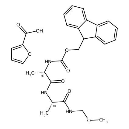 COCNC(=O)[C@H](C)NC(=O)[C@H](C)NC(=O)OCC1c2ccccc2-c2ccccc21.O=C(O)c1ccco1